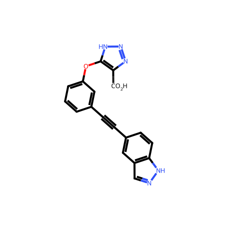 O=C(O)c1nn[nH]c1Oc1cccc(C#Cc2ccc3[nH]ncc3c2)c1